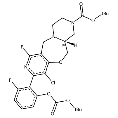 CC(C)(C)OC(=O)Oc1cccc(F)c1-c1nc(F)c2c(c1Cl)OC[C@H]1CN(C(=O)OC(C)(C)C)CCN1C2